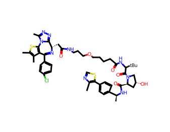 Cc1ncsc1-c1ccc([C@H](C)NC(=O)[C@@H]2C[C@@H](O)CN2C(=O)C(NC(=O)CCCCOCCCNC(=O)C[C@@H]2N=C(c3ccc(Cl)cc3)c3c(sc(C)c3C)-n3c(C)nnc32)C(C)(C)C)cc1